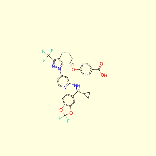 O=C(O)c1ccc(O[C@H]2CCCc3c(C(F)(F)F)nn(-c4ccnc(N[C@H](c5ccc6c(c5)OC(F)(F)O6)C5CC5)c4)c32)cc1